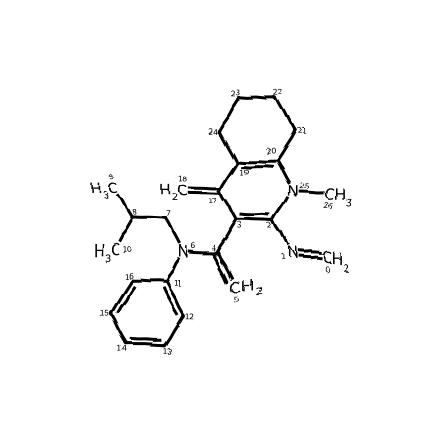 C=NC1=C(C(=C)N(CC(C)C)c2ccccc2)C(=C)C2=C(CCCC2)N1C